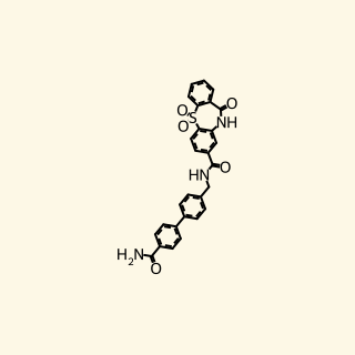 NC(=O)c1ccc(-c2ccc(CNC(=O)c3ccc4c(c3)NC(=O)c3ccccc3S4(=O)=O)cc2)cc1